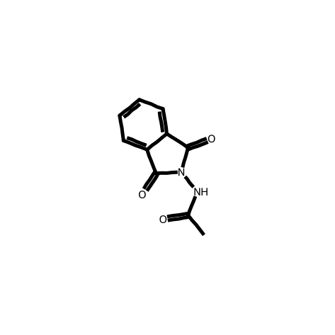 CC(=O)NN1C(=O)c2ccccc2C1=O